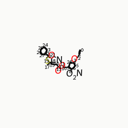 C#CCOc1ccc([N+](=O)[O-])c(COC(=O)CCC(C)(C#N)SC(=O)c2ccccc2)c1